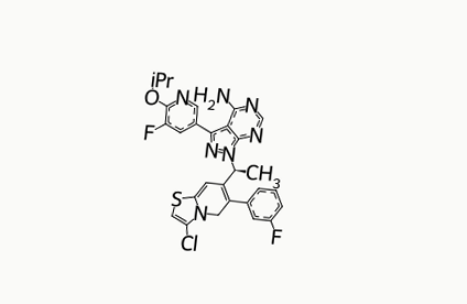 CC(C)Oc1ncc(-c2nn([C@@H](C)C3=C(c4cccc(F)c4)CN4C(Cl)=CSC4=C3)c3ncnc(N)c23)cc1F